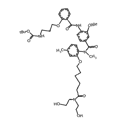 COc1cc(C(=O)N(C)c2ccc(C)cc2OCCCCCC(=O)N(CCO)CCO)ccc1NC(=O)c1ccccc1OCCCNC(=O)OC(C)(C)C